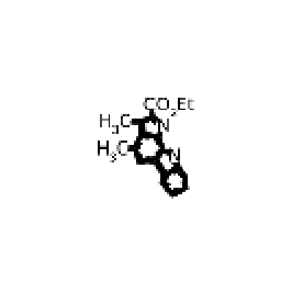 CCOC(=O)C1=Nc2c3c(cc(C)c2=C1C)=c1ccccc1=N3